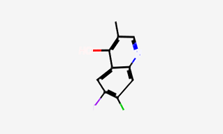 Cc1cnc2cc(Cl)c(I)cc2c1O